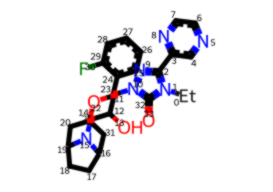 CCn1c(-c2cnccn2)nn(CC(O)CN2C3CCC2CC(OCc2ccccc2F)C3)c1=O